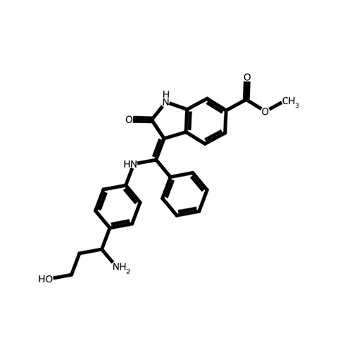 COC(=O)c1ccc2c(c1)NC(=O)/C2=C(\Nc1ccc(C(N)CCO)cc1)c1ccccc1